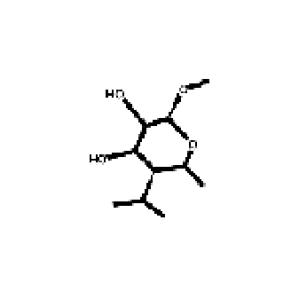 CO[C@H]1OC(C)[C@@H](C(C)C)C(O)C1O